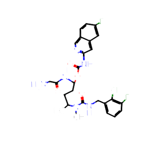 CC(CCC(NC(=O)CN)OC(=O)Nc1cc2cc(F)ccc2cn1)N(C)C(=O)NCc1cccc(F)c1Cl